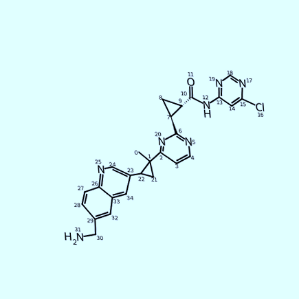 CC1(c2ccnc([C@H]3C[C@@H]3C(=O)Nc3cc(Cl)ncn3)n2)CC1c1cnc2ccc(CN)cc2c1